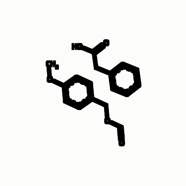 COc1ccc(COC=O)cc1.O=C(O)Cc1ccccc1